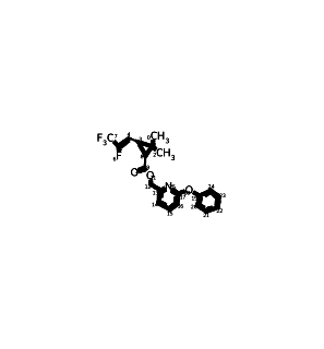 CC1(C)[C@H](C=C(F)C(F)(F)F)[C@@H]1C(=O)OCc1cccc(Oc2ccccc2)n1